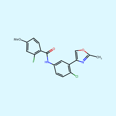 COc1ccc(C(=O)Nc2ccc(Cl)c(-c3coc(C)n3)c2)c(F)c1